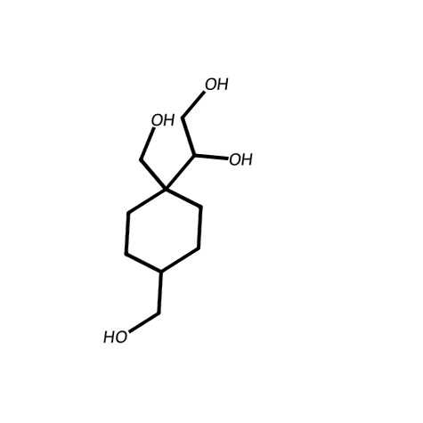 OCC1CCC(CO)(C(O)CO)CC1